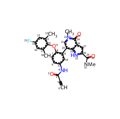 C#CC(=O)Nc1ccc(Oc2c(C)cc(F)cc2C)c(-c2cn(C)c(=O)c3cc(C(=O)NC)[nH]c23)c1